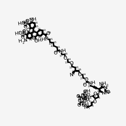 N#C/C=C/OC1C[C@H](c2[nH]c(=O)nc(N)c2C#CCNC(=O)OCCO/C=C(\C#N)CCOCCOCCNC(=O)CCCCCNC(=O)c2ccc(-c3c4ccc(=N)c(S(=O)(=O)O)c-4oc4c(S(=O)(=O)O)c(N)ccc34)c(C(=O)O)c2)O[C@@H]1COP(=O)(O)OP(=O)(O)OP(=O)(O)O